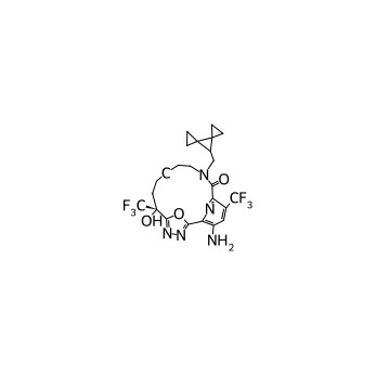 Nc1cc(C(F)(F)F)c2nc1-c1nnc(o1)[C@@](O)(C(F)(F)F)CCCCCN(CC1C3(CC3)C13CC3)C2=O